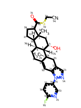 C[C@@]12C[C@H](O)[C@H]3[C@@H](CCC4=Cc5c(cnn5-c5ccc(F)nc5)C[C@@]43C)[C@@H]1CC[C]2C(=O)SCC#N